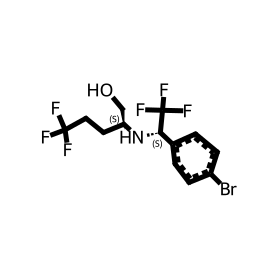 OC[C@H](CCC(F)(F)F)N[C@@H](c1ccc(Br)cc1)C(F)(F)F